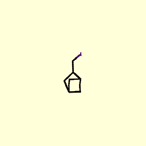 ICC1CC2CC1C2